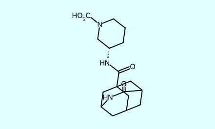 O=C1NC2CC3CC1CC(C(=O)N[C@H]1CCCN(C(=O)O)C1)(C3)C2